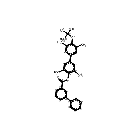 Cc1cc(-c2cc(C)c(OC(C)(C)C)c(C)c2)cc(C)c1OC(=O)c1cccc(-c2ccccc2)c1